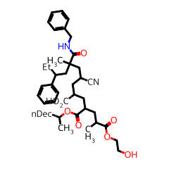 CCCCCCCCCCC(C)OC(=O)C(CC(C)C(=O)OCCO)CC(CC(C#N)CC(C)(CC(CC)c1ccccc1)C(=O)NCc1ccccc1)C(=O)O